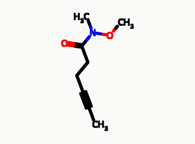 CC#CCCC(=O)N(C)OC